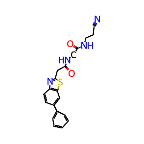 N#CCCNC(=O)CNC(=O)Cc1nc2ccc(-c3ccccc3)cc2s1